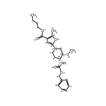 CCCCOC(=O)c1nc(N2CC[C@@H](NC(=O)OCc3ccccc3)[C@@H](OC)C2)oc1C